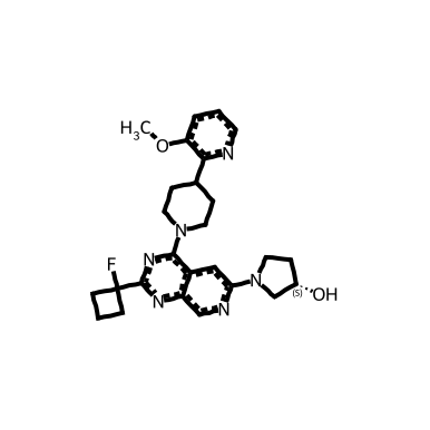 COc1cccnc1C1CCN(c2nc(C3(F)CCC3)nc3cnc(N4CC[C@H](O)C4)cc23)CC1